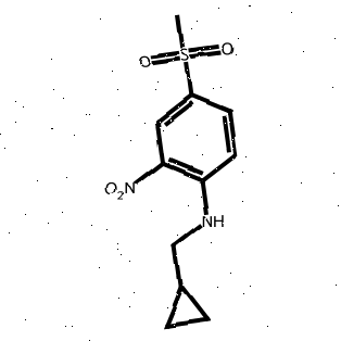 CS(=O)(=O)c1ccc(NCC2CC2)c([N+](=O)[O-])c1